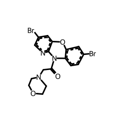 O=C(CN1CCOCC1)N1c2ccc(Br)cc2Oc2cc(Br)cnc21